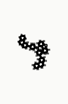 c1ccc2c(c1)ccc1ccc(-c3ccc(N(c4ccc(-c5ccc6ccc7ccccc7c6c5)cc4)c4cccc5oc6ccccc6c45)cc3)cc12